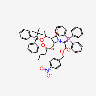 CCCC(=O)SC1C(C(C)O[Si](c2ccccc2)(c2ccccc2)C(C)(C)C)C(=O)N1C(C(=O)OCc1ccc([N+](=O)[O-])cc1)=P(c1ccccc1)(c1ccccc1)c1ccccc1